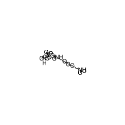 O=C(COc1cccc2c1C(=O)N(C1CCC(=O)NC1=O)C2=O)NCCCCCOCCOCCOCCCCCNC(=O)C1CCCCC1